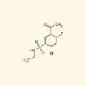 CCNS(=O)(=O)c1cc(C(C)=O)c(F)cc1Cl